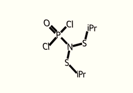 CC(C)SN(SC(C)C)P(=O)(Cl)Cl